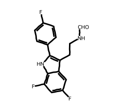 O=CNCCc1c(-c2ccc(F)cc2)[nH]c2c(F)cc(F)cc12